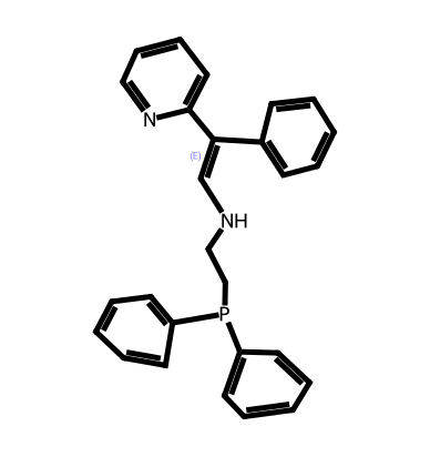 C(/NCCP(c1ccccc1)c1ccccc1)=C(/c1ccccc1)c1ccccn1